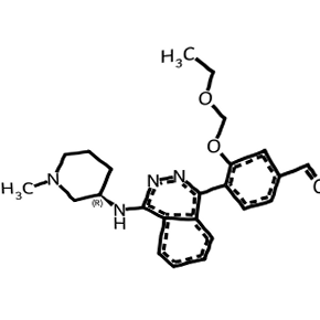 CCOCOc1cc(C=O)ccc1-c1nnc(N[C@@H]2CCCN(C)C2)c2ccccc12